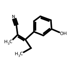 CC/C(=C(\C)C#N)c1cccc(O)c1